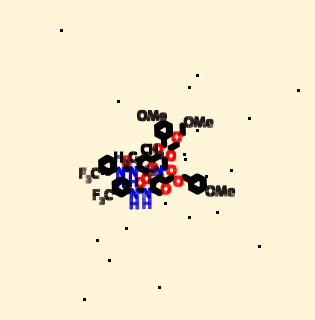 COCCOCCOCC(=O)N[C@H]1C(COCc2ccc(OC)cc2)OCC(NC(=O)Nc2cccc(C(F)(F)F)c2)[C@H]1O[C@@H]1OC(COCc2ccc(OC)cc2)[C@@H](C)[C@H](C)C1NC(=O)Nc1cccc(C(F)(F)F)c1